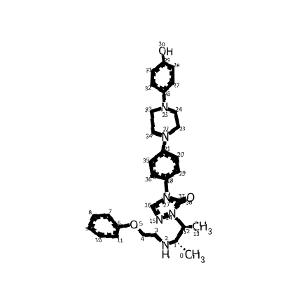 C[C@H](NCCOc1ccccc1)[C@H](C)n1ncn(-c2ccc(N3CCN(c4ccc(O)cc4)CC3)cc2)c1=O